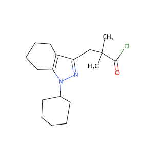 CC(C)(Cc1nn(C2CCCCC2)c2c1CCCC2)C(=O)Cl